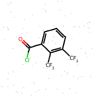 O=C(Cl)c1cccc(C(F)(F)F)c1C(F)(F)F